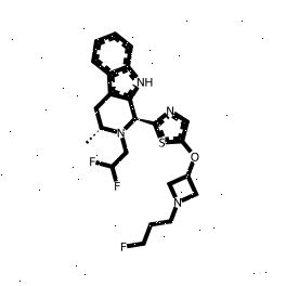 C[C@@H]1Cc2c([nH]c3ccccc23)[C@@H](c2ncc(OC3CN(CCCF)C3)s2)N1CC(F)F